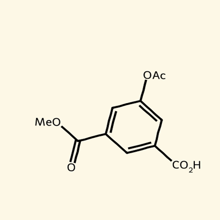 COC(=O)c1cc(OC(C)=O)cc(C(=O)O)c1